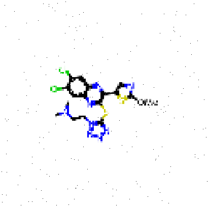 COc1ncc(-c2nc3cc(Cl)c(Cl)cc3nc2Sc2nnnn2CCN(C)C)s1